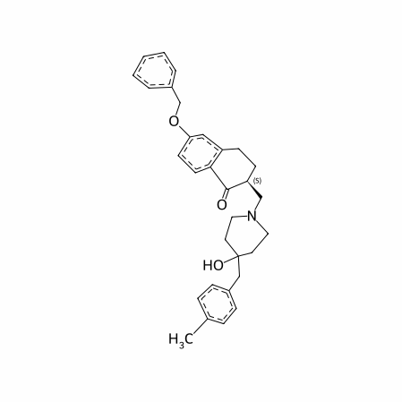 Cc1ccc(CC2(O)CCN(C[C@@H]3CCc4cc(OCc5ccccc5)ccc4C3=O)CC2)cc1